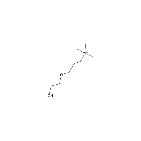 C[N+](C)(C)CCCOCCO